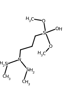 CO[Si](O)(CCCN([SiH2]C)[SiH2]C)OC